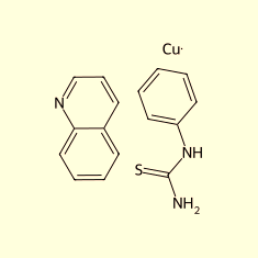 NC(=S)Nc1ccccc1.[Cu].c1ccc2ncccc2c1